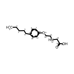 CCCCCc1ccc(OCCNCC(=O)O)cc1